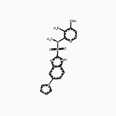 COc1ccnc(N(C)S(=O)(=O)c2nc3cc(-n4cccc4)ccc3[nH]2)c1C